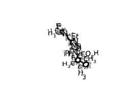 CCc1nc(=O)n([C@@H](CC(C)C)C(=O)N[C@@H](CC(=O)O)c2cc(-c3c(C)cccc3C)cc(C)c2F)cc1CCN1CC(C)(F)C1